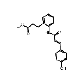 COC(=O)CCc1ccccc1NC(=O)C=Cc1ccc(O)cc1